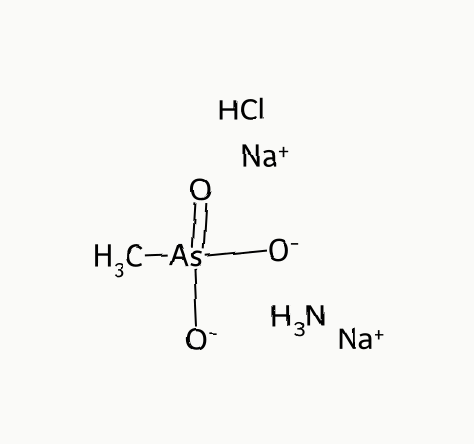 C[As](=O)([O-])[O-].Cl.N.[Na+].[Na+]